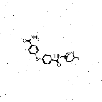 CC1CC2CCN1CC2NC(=O)c1ccc(Sc2ccc(C(N)=O)cc2)cc1